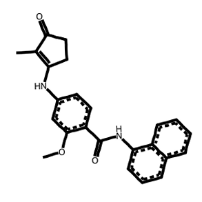 COc1cc(NC2=C(C)C(=O)CC2)ccc1C(=O)Nc1cccc2ccccc12